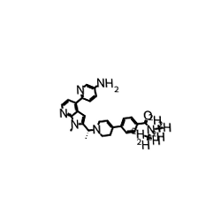 [2H]C([2H])([2H])N(C(=O)c1ccc(C2=CCN([C@H](C)c3cc4c(-c5ccc(N)cn5)ccnc4n3C)CC2)cc1)C([2H])([2H])[2H]